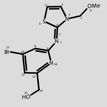 COCn1ccs/c1=N\c1cc(Br)cc(CO)n1